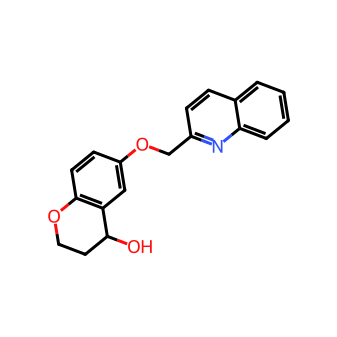 OC1CCOc2ccc(OCc3ccc4ccccc4n3)cc21